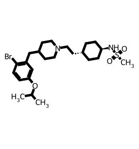 CC(C)Oc1ccc(Br)c(CC2CCN(CC[C@H]3CC[C@H](NS(C)(=O)=O)CC3)CC2)c1